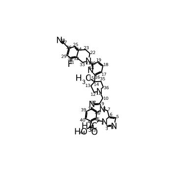 CCn1cncc1Cn1c(CN2CCC(C)(c3cccc(N4CCc5cc(C#N)cc(F)c5C4)n3)CC2)nc2ccc(C(=O)O)cc21